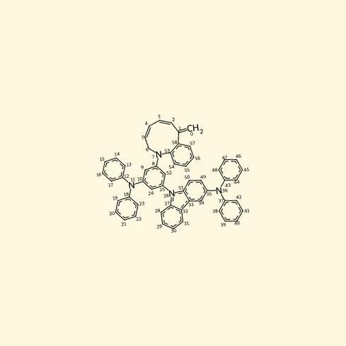 C=C1/C=C\C=C/CN(c2cc(N(c3ccccc3)c3ccccc3)cc(-n3c4ccccc4c4cc(N(c5ccccc5)c5ccccc5)ccc43)c2)c2ccccc21